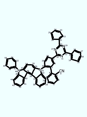 N#Cc1ccccc1-c1cc(-c2nc(-c3ccccc3)nc(-c3ccccc3)n2)ccc1-n1c2ccccc2c2c3c4ccccc4n(-c4ccccc4)c3ccc21